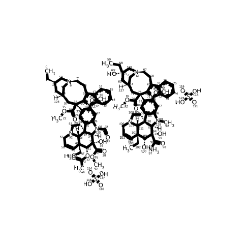 CC[C@@H]1C[C@H]2C[N@](CCc3c([nH]c4ccccc34)[C@@](C(=O)OC)(c3cc4c(cc3OC)N(C=O)[C@H]3[C@@](O)(C(=O)OC)[C@H](OC(C)=O)[C@]5(CC)C=CCN6CC[C@]43[C@@H]65)C2)C1.CC[C@]1(O)C[C@H]2C[N@](CCc3c([nH]c4ccccc34)[C@@](C(=O)OC)(c3cc4c(cc3OC)N(C)[C@H]3[C@@](O)(C(N)=O)[C@H](O)[C@]5(CC)C=CCN6CC[C@]43[C@@H]65)C2)C1.O=S(=O)(O)O.O=S(=O)(O)O